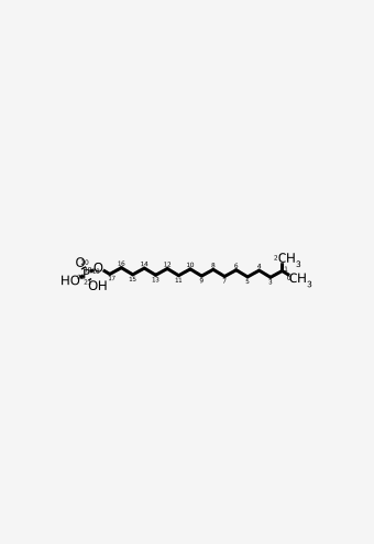 CC(C)CCCCCCCCCCCCCCCOP(=O)(O)O